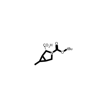 CC1C2CN(C(=O)OC(C)(C)C)[C@@H](C(=O)O)C12